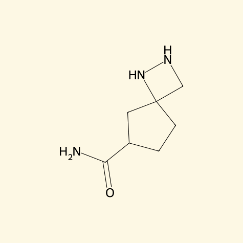 NC(=O)C1CCC2(CNN2)C1